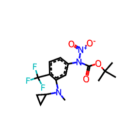 CN(c1cc(N(C(=O)OC(C)(C)C)[N+](=O)[O-])ccc1C(F)(F)F)C1CC1